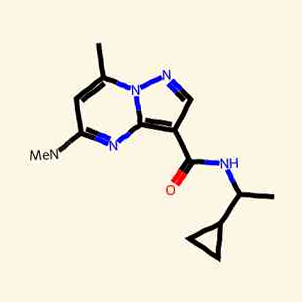 CNc1cc(C)n2ncc(C(=O)NC(C)C3CC3)c2n1